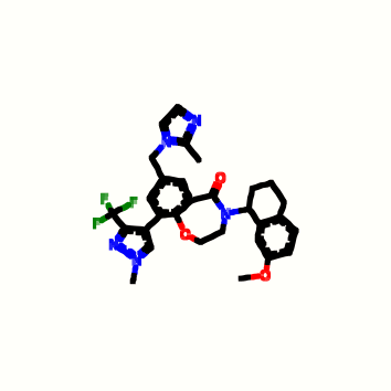 COc1ccc2c(c1)C(N1CCOc3c(cc(Cn4ccnc4C)cc3-c3cn(C)nc3C(F)(F)F)C1=O)CCC2